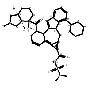 CO[N+]1(C(=O)[C@@H]2CC=CC3=C4C(=C4C(=O)NS(=O)(=O)N(C)C)Cn4c(cc5cccc(C6CCCCC6)c54)C32)CCC[C@@H]2CN(C)C[C@@H]21